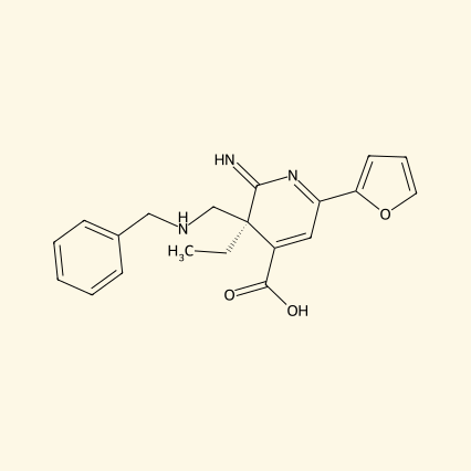 CC[C@]1(CNCc2ccccc2)C(=N)N=C(c2ccco2)C=C1C(=O)O